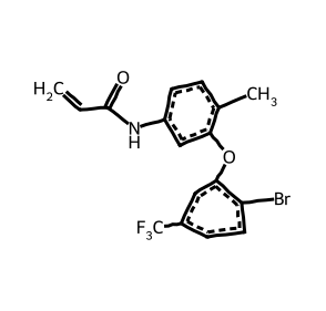 C=CC(=O)Nc1ccc(C)c(Oc2cc(C(F)(F)F)ccc2Br)c1